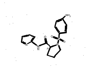 Nc1ccc(S(=O)(=O)N2CCC[C@H]2C(=O)Nc2ccccn2)cc1